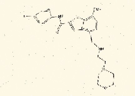 COc1ccc(CNCCN2CCOCC2)c2cc(C(=O)Nc3ccc(Cl)cc3)oc12